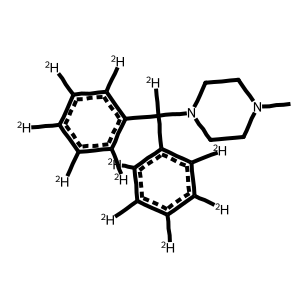 [2H]c1c([2H])c([2H])c(C([2H])(c2c([2H])c([2H])c([2H])c([2H])c2[2H])N2CCN(C)CC2)c([2H])c1[2H]